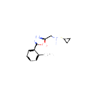 COc1ccccc1-c1nnc(CNSC2CC2)o1